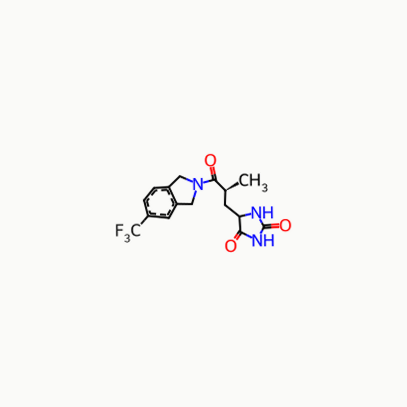 C[C@@H](CC1NC(=O)NC1=O)C(=O)N1Cc2ccc(C(F)(F)F)cc2C1